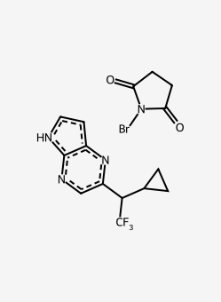 FC(F)(F)C(c1cnc2[nH]ccc2n1)C1CC1.O=C1CCC(=O)N1Br